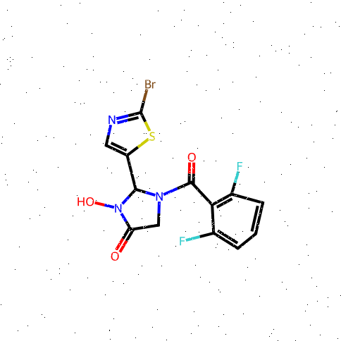 O=C1CN(C(=O)c2c(F)cccc2F)C(c2cnc(Br)s2)N1O